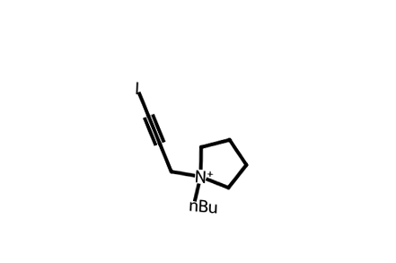 CCCC[N+]1(CC#CI)CCCC1